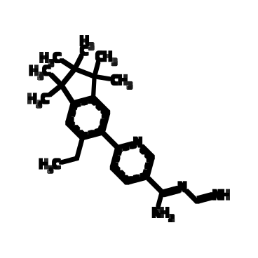 CCc1cc2c(cc1-c1ccc(/C(N)=N/C=N)cn1)C(C)(C)C(C)(C)C2(C)C